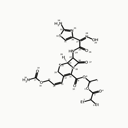 CCC(CC)C(=O)OC(C)OC(=O)C1=C(/C=C\COC(N)=O)CS[C@H]2C(NC(=O)/C(=N\O)c3csc(N)n3)C(=O)N12